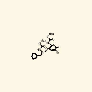 CC(C)(C)OC(=O)Nc1nc(F)c(Br)cc1OC[C@H](Cc1ccccc1)NC(=O)OC(C)(C)C